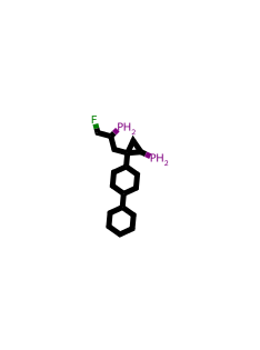 FCC(P)CC1(C2CCC(C3CCCCC3)CC2)CC1P